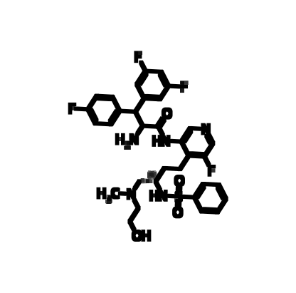 CN(CCO)C[C@H](CCc1c(F)cncc1NC(=O)C(N)C(c1ccc(F)cc1)c1cc(F)cc(F)c1)NS(=O)(=O)c1ccccc1